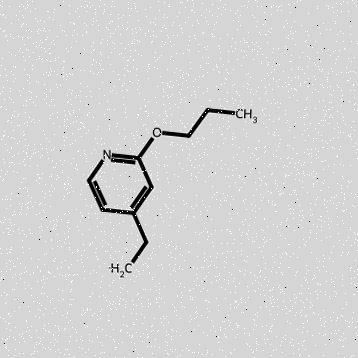 [CH2]Cc1ccnc(OCCC)c1